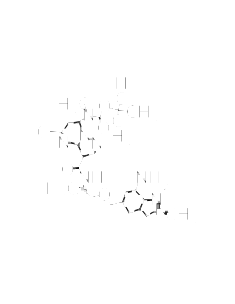 C[C@H](COCc1cc(N)c2nn(C)cc2c1)NC(=O)c1cnn2c(N(C)C(=O)OC(C)(C)C)cc(Cl)nc12